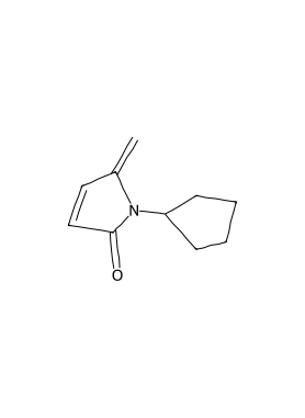 C=C1C=CC(=O)N1C1CCCC1